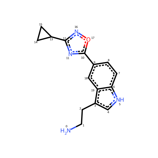 NCCc1c[nH]c2ccc(-c3nc(C4CC4)no3)cc12